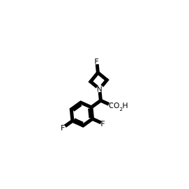 O=C(O)C(c1ccc(F)cc1F)N1CC(F)C1